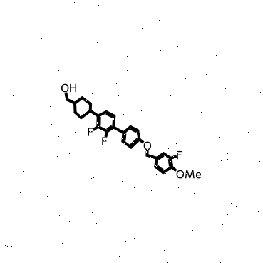 COc1ccc(COc2ccc(-c3ccc(C4CCC(CO)CC4)c(F)c3F)cc2)cc1F